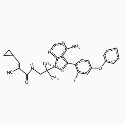 CC(C)(CNC(=O)C(C#N)=CC1CC1)n1nc(-c2ccc(Oc3ccccc3)cc2F)c2c(N)ncnc21